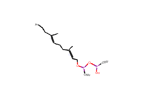 COP(O)OP(OC)OC/C=C(\C)CC/C=C(\C)CCC(C)=O